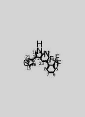 FC(F)(F)c1ccccc1-c1cnc2[nH]cc(-c3ccoc3)c2c1